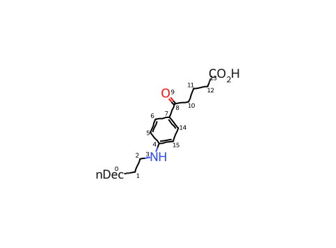 CCCCCCCCCCCCNc1ccc(C(=O)CCCC(=O)O)cc1